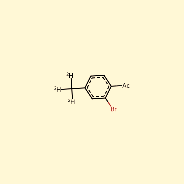 [2H]C([2H])([2H])c1ccc(C(C)=O)c(Br)c1